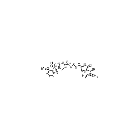 COc1ccccc1C(O)(C(=O)N1CCC2(CC1)C[C@H]2CCCOc1ccc(C(=O)N(C)C)c(Cl)c1)C(F)(F)F